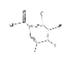 Cc1cc(C(=O)Cl)c(F)c(F)c1F